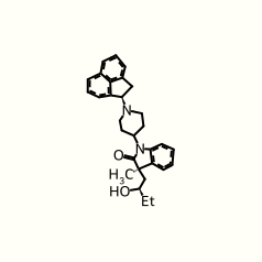 CC[C@@H](O)C[C@@]1(C)C(=O)N(C2CCN([C@@H]3Cc4cccc5cccc3c45)CC2)c2ccccc21